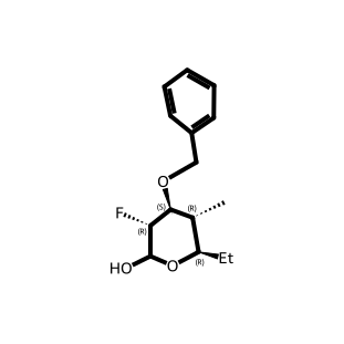 CC[C@H]1OC(O)[C@H](F)[C@@H](OCc2ccccc2)[C@@H]1C